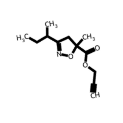 C#CCOC(=O)C1(C)CC(C(C)CC)=NO1